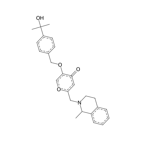 CC1c2ccccc2CCN1Cc1cc(=O)c(OCc2ccc(C(C)(C)O)cc2)co1